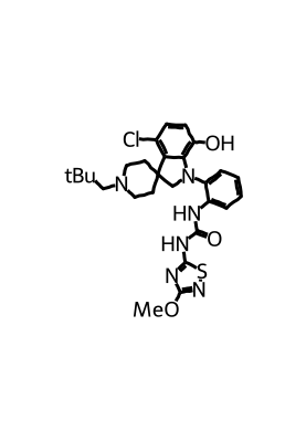 COc1nsc(NC(=O)Nc2ccccc2N2CC3(CCN(CC(C)(C)C)CC3)c3c(Cl)ccc(O)c32)n1